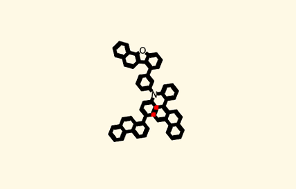 c1cc(-c2cccc3oc4c5ccccc5ccc4c23)cc(N(c2ccc(-c3cccc4c3ccc3ccccc34)cc2)c2ccccc2-c2cccc3c2ccc2ccccc23)c1